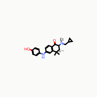 CCN(CC1CC1)C1C(=O)c2ccc(Nc3ccc(O)cc3)cc2C(C)(C)[C@H]1C